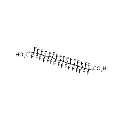 O=C(O)CC(F)(F)C(F)(F)C(F)(F)C(F)(F)C(F)(F)C(F)(F)C(F)(F)C(F)(F)C(F)(F)C(F)(F)C(F)(F)C(F)(F)C(F)(F)C(F)(F)C(F)(F)C(F)(F)CC(=O)O